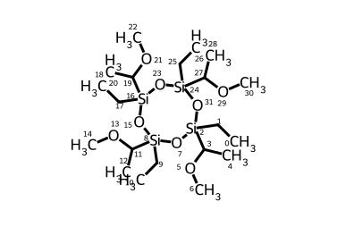 CC[Si]1(C(C)OC)O[Si](CC)(C(C)OC)O[Si](CC)(C(C)OC)O[Si](CC)(C(C)OC)O1